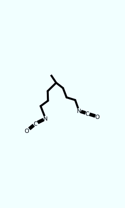 CC(CCCN=C=O)CCCN=C=O